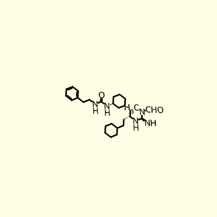 CN(C=O)C(=N)N[C@H](CCC1CCCCC1)C[C@H]1CCC[C@@H](NC(=O)NCCc2ccccc2)C1